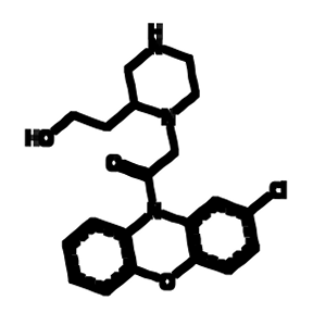 O=C(CN1CCNCC1CCO)N1c2ccccc2Oc2ccc(Cl)cc21